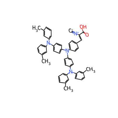 [C-]#[N+]/C(=C\c1ccc(N(c2ccc(N(c3cccc(C)c3)c3cccc(C)c3)cc2)c2ccc(N(c3cccc(C)c3)c3cccc(C)c3)cc2)cc1)C(=O)O